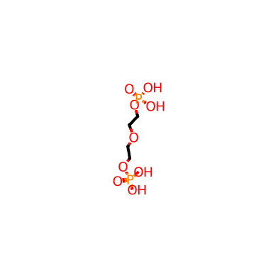 O=P(O)(O)OCCOCCOP(=O)(O)O